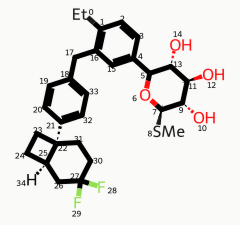 CCc1ccc(C2O[C@H](SC)[C@@H](O)[C@H](O)[C@H]2O)cc1Cc1ccc([C@@]23CC[C@@H]2CC(F)(F)CC3)cc1